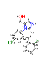 Cc1ncc(CO)n1-c1ccc(Cl)cc1Cc1ccccc1F